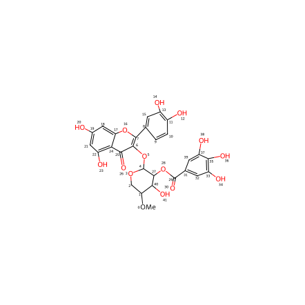 COC1COC(Oc2c(-c3ccc(O)c(O)c3)oc3cc(O)cc(O)c3c2=O)C(OC(=O)c2cc(O)c(O)c(O)c2)C1O